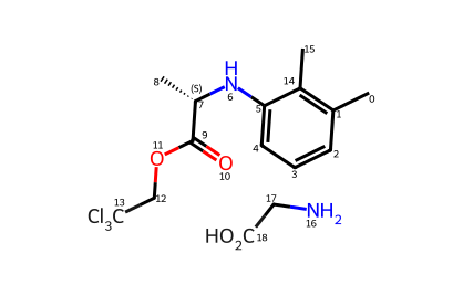 Cc1cccc(N[C@@H](C)C(=O)OCC(Cl)(Cl)Cl)c1C.NCC(=O)O